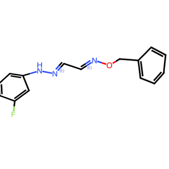 Fc1cccc(N/N=C/C=N/OCc2ccccc2)c1